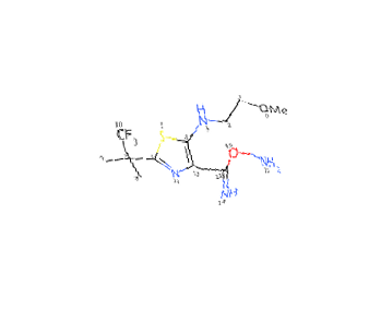 COCCNc1sc(C(C)(C)C(F)(F)F)nc1C(=N)ON